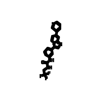 O=C(NCC(F)(F)F)Nc1cccc(-c2cnc3cc(-c4cccnc4)ccn23)c1